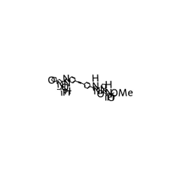 COC(=O)N[C@H](C(=O)N1CCC[C@H]1c1ncc(-c2ccc(C#Cc3ccc4nc([C@@H]5C[C@@]6(CCOC6)CN5C(=O)[C@@H](C)C(C)C)[nH]c4c3)cc2)[nH]1)C(C)C